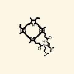 C=CC1=C(C)c2cc3[nH]c(cc4nc(cc5[nH]c(cc1n2)c(C)c5CCC(=O)NCCN(C)C)C(CCC(=O)NCCN(C)C)=C4C)c(C)c3C=C